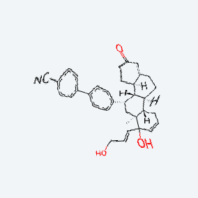 C[C@]12C[C@H](c3ccc(-c4ccc(C#N)cc4)cc3)[C@H]3[C@@H](CCC4=CC(=O)CC[C@@H]43)[C@@H]1CC=CC2(O)/C=C/CO